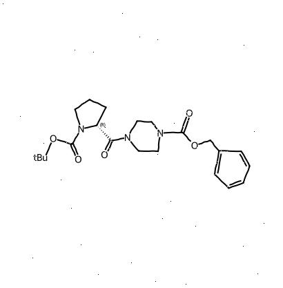 CC(C)(C)OC(=O)N1CCC[C@@H]1C(=O)N1CCN(C(=O)OCc2ccccc2)CC1